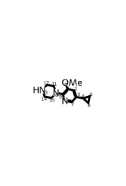 COc1cc(C2CC2)cnc1N1CCNCC1